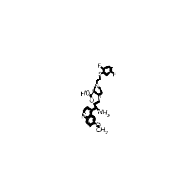 COc1ccc2nccc(C(N)CC[C@@H]3CCN(CCSc4cc(F)ccc4F)C[C@@H]3C(=O)O)c2c1